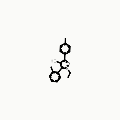 CCn1nc(-c2ccc(C)cc2)c(O)c1-c1ccccc1C